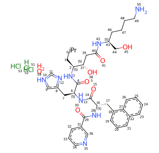 CC(C)C[C@H](NC(=O)[C@H](Cc1c[nH]cn1)NC(=O)[C@H](Cc1cccc2ccccc12)NC(=O)c1cccnc1)[C@@H](O)CC(=O)N[C@H](CO)CCCCN.Cl.Cl.Cl.O